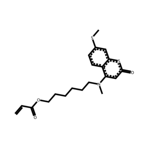 C=CC(=O)OCCCCCCN(C)c1cc(=O)sc2cc(SC)ccc12